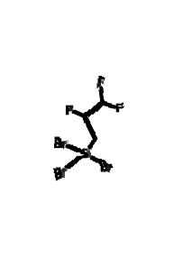 FC(F)C(F)C[Si](Br)(Br)Br